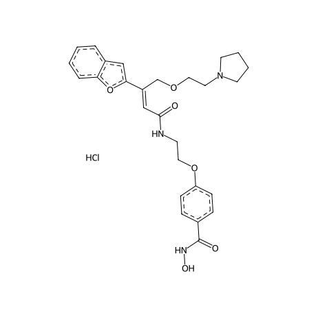 Cl.O=C(C=C(COCCN1CCCC1)c1cc2ccccc2o1)NCCOc1ccc(C(=O)NO)cc1